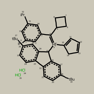 CC(C)c1cc(/[C](C2CCC2)=[Hf](/[C]2=CC=CC2)[CH]2c3cc(C(C)(C)C)ccc3-c3ccc(C(C)(C)C)cc32)cc(C(C)C)c1.Cl.Cl